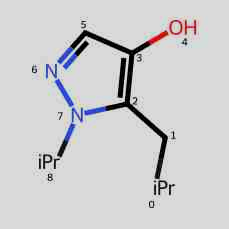 CC(C)Cc1c(O)cnn1C(C)C